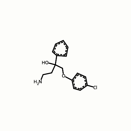 NCCC(O)(COc1ccc(Cl)cc1)c1ccccc1